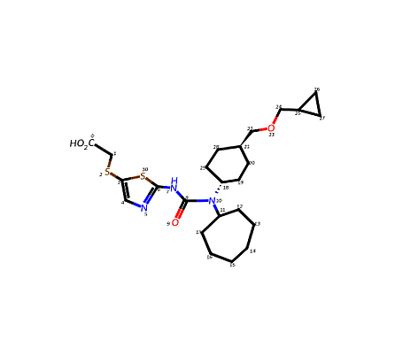 O=C(O)CSc1cnc(NC(=O)N(C2CCCCCC2)[C@H]2CC[C@H](COCC3CC3)CC2)s1